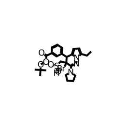 CCc1ccc2n1N=C(N1CCCC1)C(Br)(C[SH](=O)=O)C2c1cccc(C(=O)OOC(C)(C)C)c1